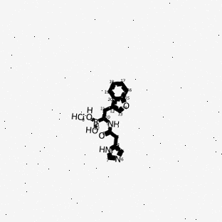 Cl.O=C(Cc1cnc[nH]1)NC(Cc1coc2ccccc12)B(O)O